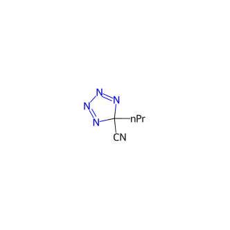 CCCC1(C#N)N=NN=N1